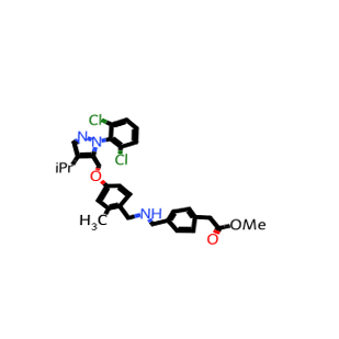 COC(=O)Cc1ccc(CNCc2ccc(OCc3c(C(C)C)cnn3-c3c(Cl)cccc3Cl)cc2C)cc1